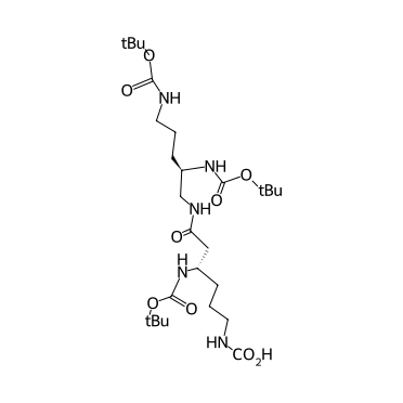 CC(C)(C)OC(=O)NCCC[C@H](CNC(=O)C[C@H](CCCNC(=O)O)NC(=O)OC(C)(C)C)NC(=O)OC(C)(C)C